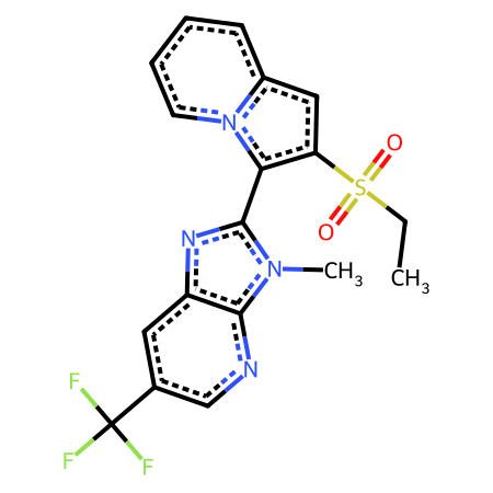 CCS(=O)(=O)c1cc2ccccn2c1-c1nc2cc(C(F)(F)F)cnc2n1C